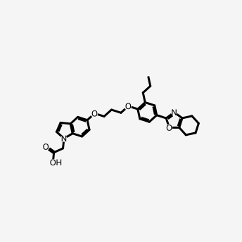 CCCc1cc(-c2nc3c(o2)CCCC3)ccc1OCCCOc1ccc2c(ccn2CC(=O)O)c1